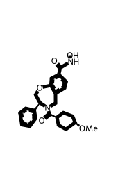 CO[C@H]1CC[C@@H](C(=O)N2Cc3ccc(C(=O)NO)cc3OC[C@@H]2c2ccccc2)CC1